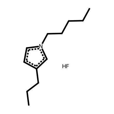 CCCCCn1ccc(CCC)c1.F